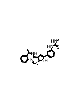 CNC(=S)Nc1cccc(-c2cc3c(NC(C)c4ccccc4)ncnc3[nH]2)c1